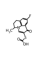 CC1CCc2cc(F)cc3c(=O)c(SC(=O)O)cn1c23